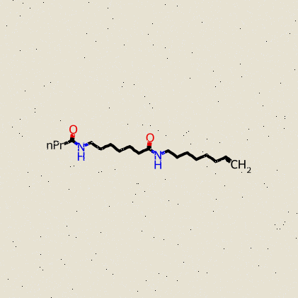 C=CCCCCCCNC(=O)CCCCCCNC(=O)CCC